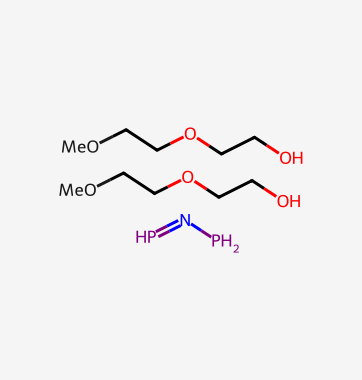 COCCOCCO.COCCOCCO.P=NP